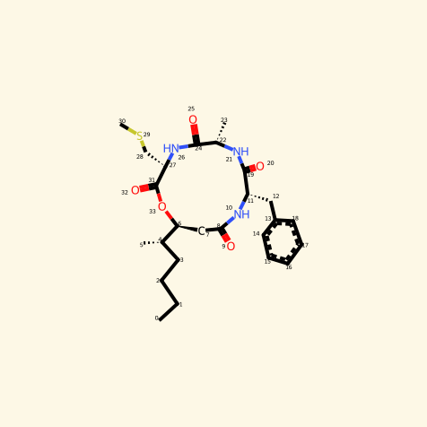 CCCC[C@H](C)[C@@H]1CC(=O)N[C@@H](Cc2ccccc2)C(=O)N[C@@H](C)C(=O)N[C@@H](CSC)C(=O)O1